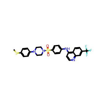 CSc1ccc(N2CCN(S(=O)(=O)c3ccc(Nc4ccnc5cc(C(F)(F)F)ccc45)cc3)CC2)cc1